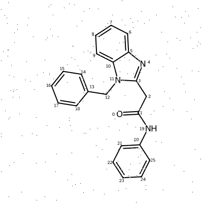 O=C(Cc1nc2ccccc2n1Cc1ccccc1)Nc1ccccc1